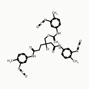 C=C(Nc1ccc(C)c(N=C=O)c1)OCC(CC)(CCC(=O)Nc1ccc(C)c(N=C=O)c1)CC(=O)Nc1ccc(C)c(N=C=O)c1